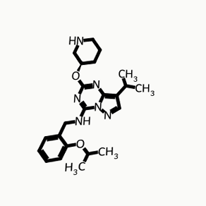 CC(C)Oc1ccccc1CNc1nc(O[C@@H]2CCCNC2)nc2c(C(C)C)cnn12